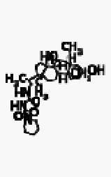 CC[C@H]1[C@@H](O)[C@@H]2[C@H](CC[C@]3(C)[C@@H]([C@H](C)CNC(=O)NS(=O)(=O)N4CCCCC4)CC[C@@H]23)[C@@]2(C)CC[C@@H](O)C[C@@H]12